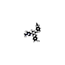 C\C=C(/C=C(Cl)\C=C(/C)CC)n1c(=O)nc(Nc2cc3sc(C)nc3cc2F)n(Cc2ccc(F)c(C#N)c2)c1=O